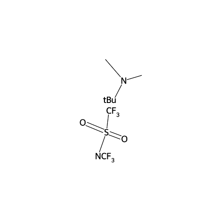 CN(C)C(C)(C)C.O=S(=O)(NC(F)(F)F)C(F)(F)F